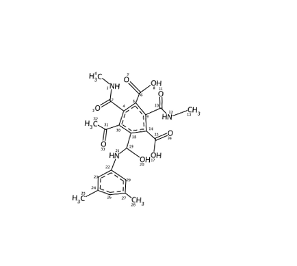 CNC(=O)c1c(C(=O)O)c(C(=O)NC)c(C(=O)O)c(C(O)Nc2cc(C)cc(C)c2)c1C(C)=O